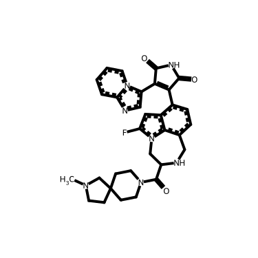 CN1CCC2(CCN(C(=O)C3Cn4c(F)cc5c(C6=C(c7cnc8ccccn78)C(=O)NC6=O)ccc(c54)CN3)CC2)C1